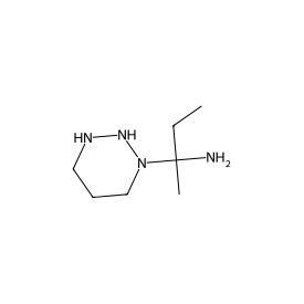 CCC(C)(N)N1CCCNN1